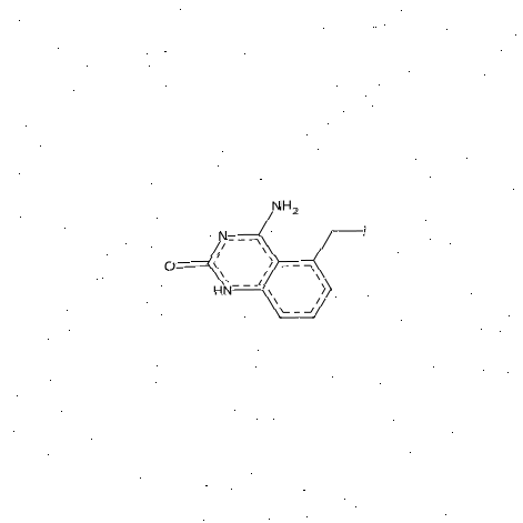 Nc1nc(=O)[nH]c2cccc(CI)c12